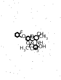 CC(C)C(=O)N1c2cccc(O)c2NC2=C(C(=O)CC(C)(C)C2)C1c1ccc(OCc2ccccc2F)cc1F